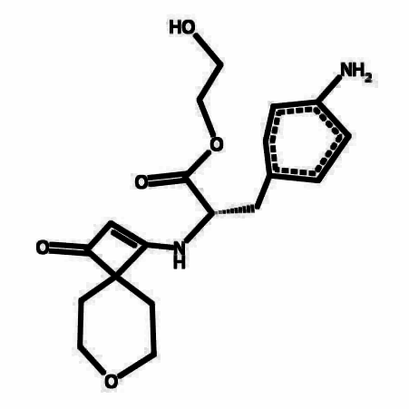 Nc1ccc(C[C@H](NC2=CC(=O)C23CCOCC3)C(=O)OCCO)cc1